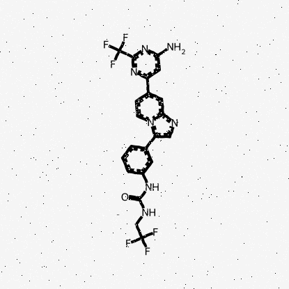 Nc1cc(-c2ccn3c(-c4cccc(NC(=O)NCC(F)(F)F)c4)cnc3c2)nc(C(F)(F)F)n1